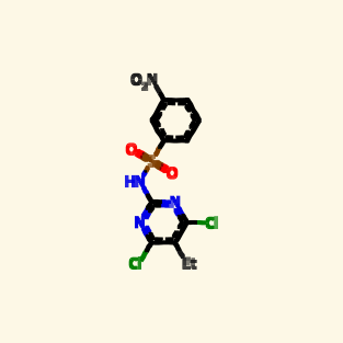 CCc1c(Cl)nc(NS(=O)(=O)c2cccc([N+](=O)[O-])c2)nc1Cl